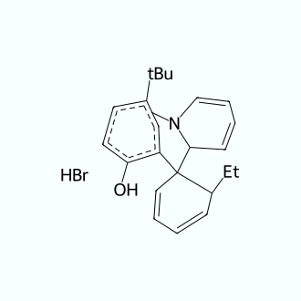 Br.CCC1C=CC=CC1(c1cc(C(C)(C)C)ccc1O)C1C=CC=CN1C